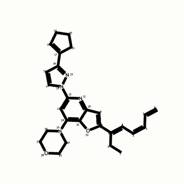 C=C/C=C\C=C(/CC)c1cc2nc(-n3ccc(C4=CCCC4)n3)cc(N3CCOCC3)c2o1